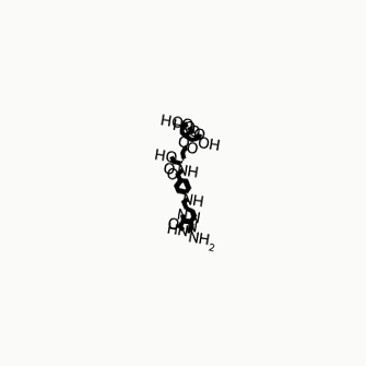 Nc1nc2ncc(CNc3ccc(C(=O)N[C@@H](CCC(=O)OC(CC(=O)O)(CC(=O)O)C(=O)O)C(=O)O)cc3)nc2c(=O)[nH]1